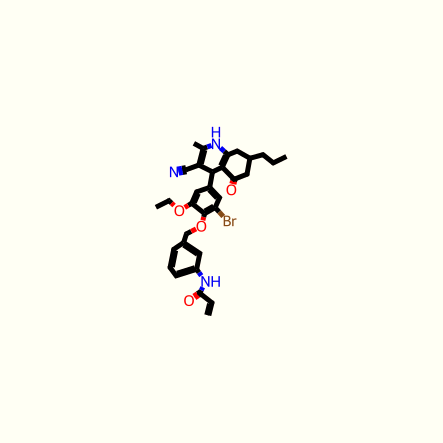 C=CC(=O)Nc1cccc(COc2c(Br)cc(C3C(C#N)=C(C)NC4=C3C(=O)CC(CCC)C4)cc2OCC)c1